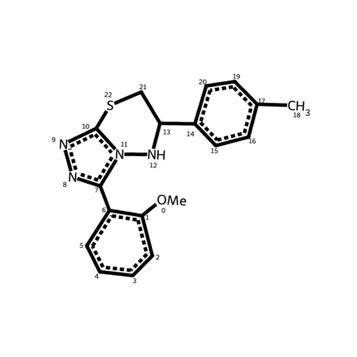 COc1ccccc1-c1nnc2n1NC(c1ccc(C)cc1)CS2